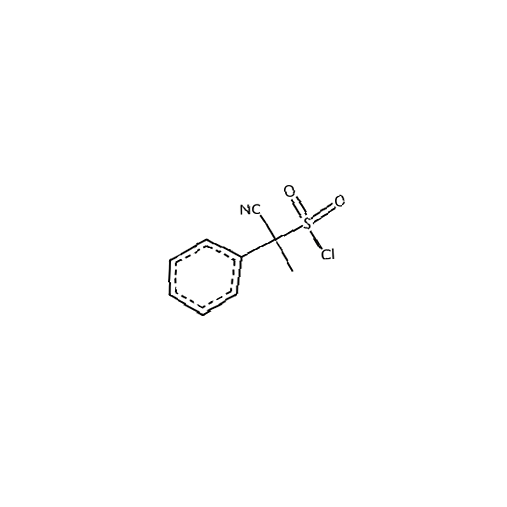 CC(C#N)(c1ccccc1)S(=O)(=O)Cl